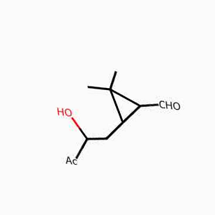 CC(=O)C(O)CC1C(C=O)C1(C)C